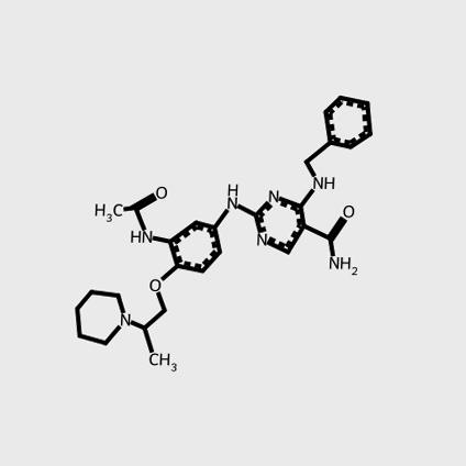 CC(=O)Nc1cc(Nc2ncc(C(N)=O)c(NCc3ccccc3)n2)ccc1OCC(C)N1CCCCC1